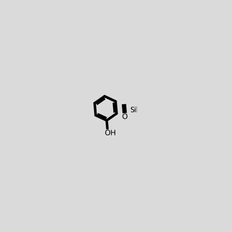 C=O.Oc1ccccc1.[Si]